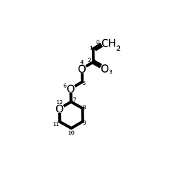 C=CC(=O)OCOC1CCCCO1